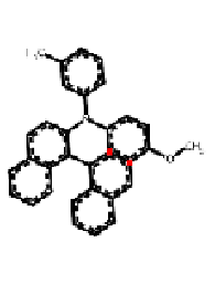 COc1ccc(N(c2cccc(C)c2)c2ccc3ccccc3c2-c2cccc3ccccc23)cc1